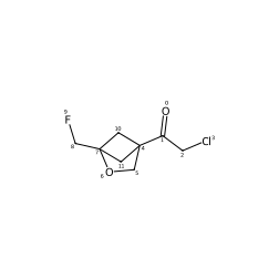 O=C(CCl)C12COC(CF)(C1)C2